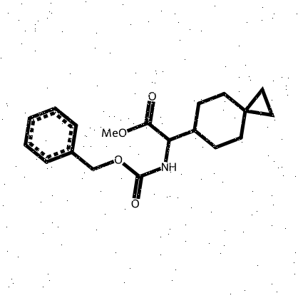 COC(=O)C(NC(=O)OCc1ccccc1)C1CCC2(CC1)CC2